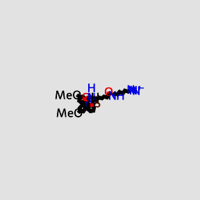 COc1ccc(C(c2ccccc2)(c2ccc(OC)cc2)N2C(=O)N[C@@H]3C(CCCCC(=O)NCCCCCCN=[N+]=[N-])SC[C@@H]32)cc1